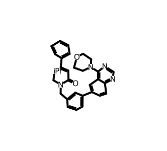 CC(C)CN(Cc1cccc(-c2ccc3ncnc(N4CCOCC4)c3c2)c1)C(=O)/C=C/c1ccccc1